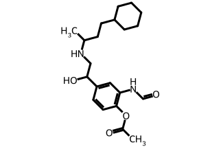 CC(=O)Oc1ccc(C(O)CNC(C)CCC2CCCCC2)cc1NC=O